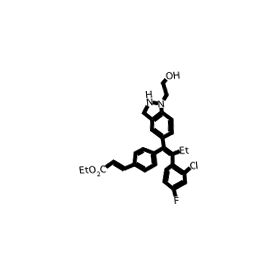 CCOC(=O)/C=C/c1ccc(/C(=C(/CC)c2ccc(F)cc2Cl)c2ccc3c(c2)CNN3CCO)cc1